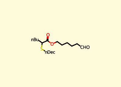 CCCCCCCCCCSC(CCCC)C(=O)OCCCCCC=O